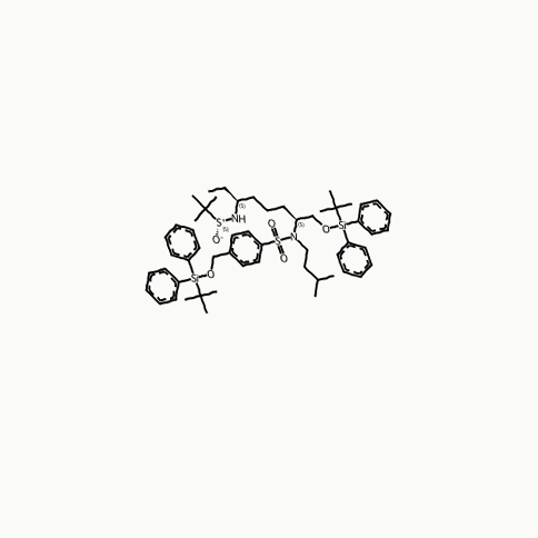 CC[C@@H](CCC[C@@H](CO[Si](c1ccccc1)(c1ccccc1)C(C)(C)C)N(CCC(C)C)S(=O)(=O)c1ccc(CO[Si](c2ccccc2)(c2ccccc2)C(C)(C)C)cc1)N[S@+]([O-])C(C)(C)C